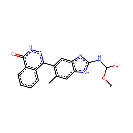 CCOC(O)Nc1nc2cc(-c3n[nH]c(=O)c4ccccc34)c(C)cc2[nH]1